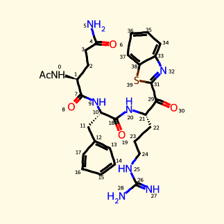 CC(=O)N[C@@H](CCC(N)=O)C(=O)N[C@@H](Cc1ccccc1)C(=O)N[C@@H](CCCNC(=N)N)C(=O)c1nc2ccccc2s1